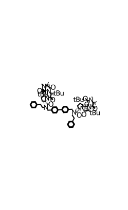 C[C@@H](C(=O)N[C@H](C(=O)N1CCC[C@H]1C(=O)N(CCc1ccccc1)Cc1ccc(-c2ccc(CN(CCc3ccccc3)C(=O)[C@@H]3CCCN3C(=O)[C@@H](NC(=O)[C@H](C)N(C)C(=O)OC(C)(C)C)C(C)(C)C)cc2)cc1)C(C)(C)C)N(C)C(=O)OC(C)(C)C